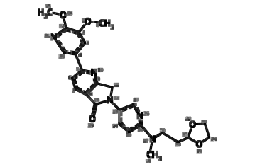 COc1cc(-c2ccc3c(n2)CN(c2ccc(N(C)CCC4OCCO4)nc2)C3=O)cnc1OC